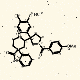 CCN1CCC(C(N)=O)(c2ccccc2)CC1C1(c2ccc(Cl)c(Cl)c2)CCN(C(=O)c2ccc(OC)cc2)C1.Cl